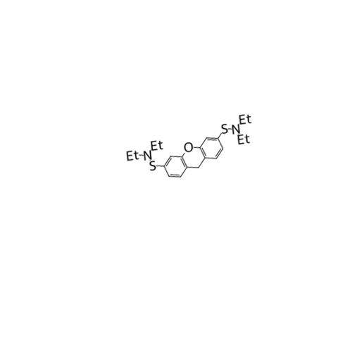 CCN(CC)Sc1ccc2c(c1)Oc1cc(SN(CC)CC)ccc1C2